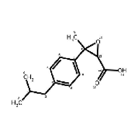 CC(C)Cc1ccc(C2(C)OC2C(=O)O)cc1